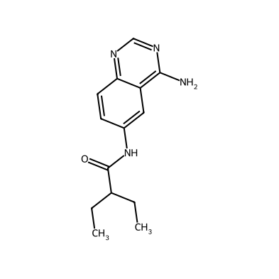 CCC(CC)C(=O)Nc1ccc2ncnc(N)c2c1